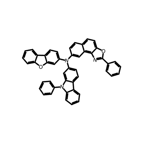 c1ccc(-c2nc3c(ccc4ccc(N(c5ccc6c(c5)oc5ccccc56)c5ccc6c7ccccc7n(-c7ccccc7)c6c5)cc43)o2)cc1